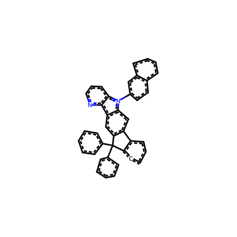 c1ccc(C2(c3ccccc3)c3ccccc3-c3cc4c(cc32)c2ncccc2n4-c2ccc3ccccc3c2)cc1